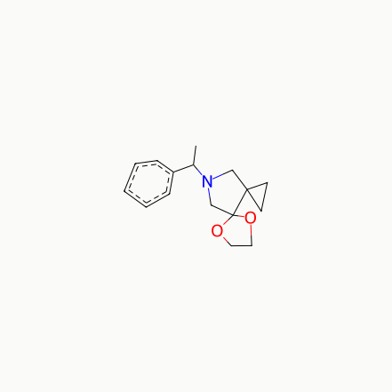 CC(c1ccccc1)N1CC2(CC2)C2(C1)OCCO2